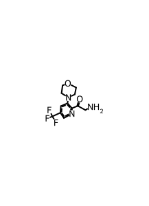 NCC(=O)c1ncc(C(F)(F)F)cc1N1CCOCC1